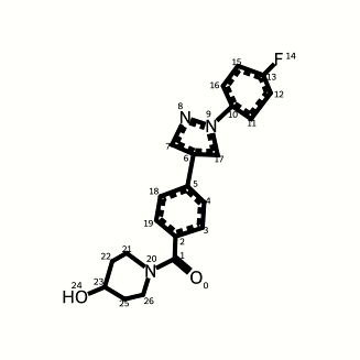 O=C(c1ccc(-c2cnn(-c3ccc(F)cc3)c2)cc1)N1CCC(O)CC1